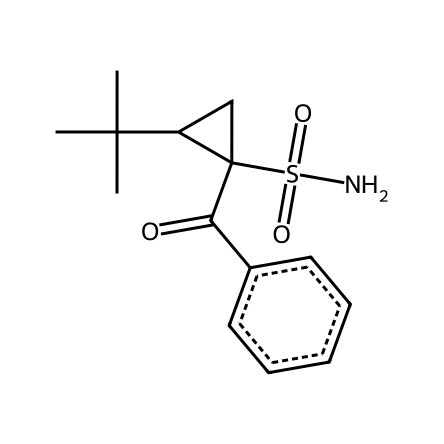 CC(C)(C)C1CC1(C(=O)c1ccccc1)S(N)(=O)=O